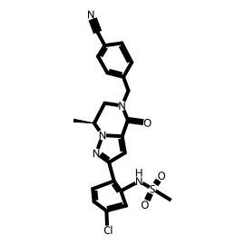 C[C@H]1CN(Cc2ccc(C#N)cc2)C(=O)c2cc(-c3ccc(Cl)cc3NS(C)(=O)=O)nn21